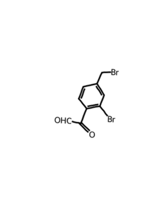 O=CC(=O)c1ccc(CBr)cc1Br